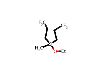 CCO[Si](C)(CCC(F)(F)F)CCC(F)(F)F